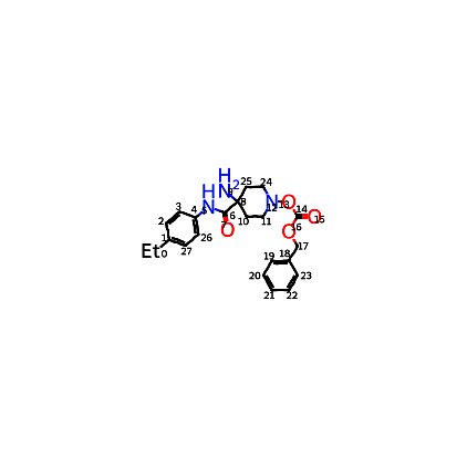 CCc1ccc(NC(=O)C2(N)CCN(OC(=O)OCc3ccccc3)CC2)cc1